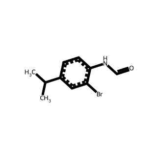 CC(C)c1ccc(NC=O)c(Br)c1